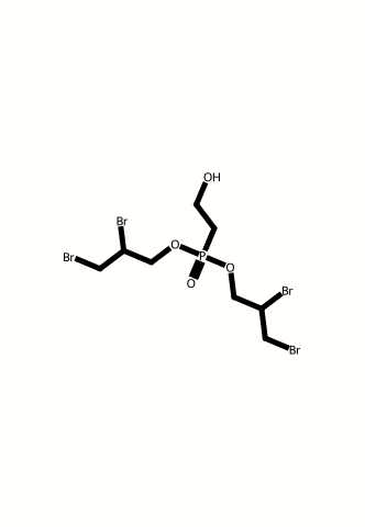 O=P(CCO)(OCC(Br)CBr)OCC(Br)CBr